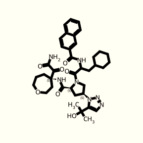 CC(C)(O)c1cnnn1[C@H]1C[C@@H](C(=O)N[C@@]2(C(=O)C(N)=O)CCCOCC2)N(C(=O)C(CC2CCCCC2)NC(=O)c2ccc3ccccc3c2)C1